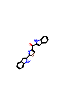 O=C(c1csc(-c2cc3ccccc3[nH]2)n1)c1cc2ccccc2[nH]1